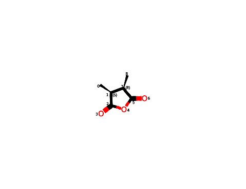 C[C@@H]1C(=O)OC(=O)[C@@H]1C